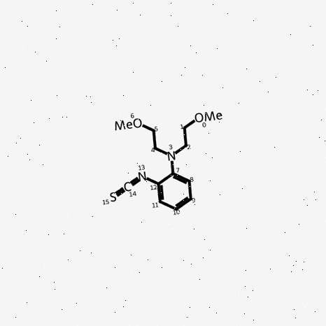 COCCN(CCOC)c1ccccc1N=C=S